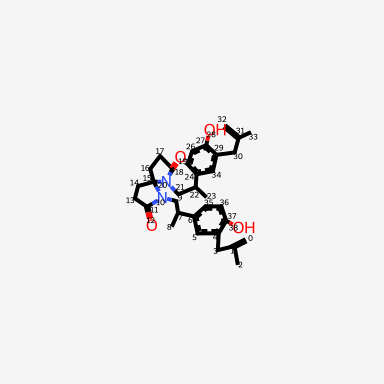 C=C(C)Cc1cc(C(C)CN2C(=O)CCC23CCC(=O)N3CC(C)c2ccc(O)c(CC(=C)C)c2)ccc1O